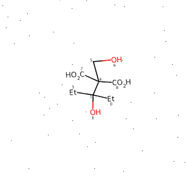 CCC(O)(CC)C(CO)(C(=O)O)C(=O)O